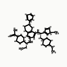 CC[C@@H](Nc1nc2c(c(N[C@@H](CN3CCC(OC)CC3)c3cnn(C)c3)n1)C[C@H](c1ccccc1)CC2)C1CCC(C(=O)O)CC1